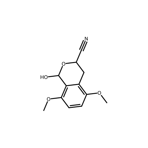 COc1ccc(OC)c2c1CC(C#N)OC2O